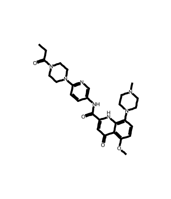 CCC(=O)N1CCN(c2ccc(NC(=O)c3cc(=O)c4c(OC)ccc(N5CCN(C)CC5)c4[nH]3)cn2)CC1